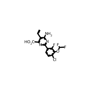 C=Cc1c(N)nc(-c2ccc(Cl)c(OC(F)F)c2F)nc1C(=O)O